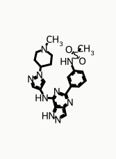 CN1CCC(n2cc(Nc3nc(-c4cccc(NS(C)(=O)=O)c4)nc4cn[nH]c34)cn2)CC1